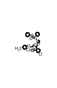 Cc1ccc(OCC2COC(Cn3ccnc3)(c3ccc(Cl)cc3Cl)O2)c(C=O)c1.O=[N+](Oc1ccccc1)Oc1ccccc1